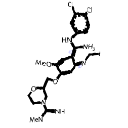 CNC(=N)N1CCOC(COC2=CC(=N/CI)/C(=C(\N)Nc3ccc(Cl)c(Cl)c3)C=C2OC)C1